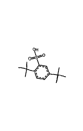 CC(C)(C)c1ccc(C(C)(C)C)c(S(=O)(=O)O)c1